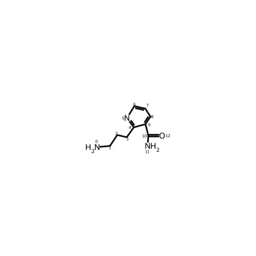 NCCCc1ncccc1C(N)=O